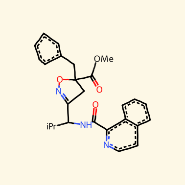 COC(=O)C1(Cc2ccccc2)CC(C(NC(=O)c2nccc3ccccc23)C(C)C)=NO1